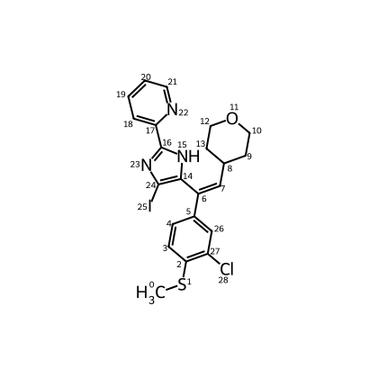 CSc1ccc(C(=CC2CCOCC2)c2[nH]c(-c3ccccn3)nc2I)cc1Cl